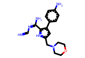 N=C/N=C(/N)c1[nH]c(CN2CCOCC2)cc1-c1ccc(N)cc1